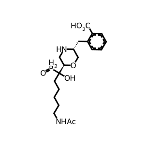 CC(=O)NCCCCCC(O)([PH2]=O)[C@H]1CN[C@H](Cc2ccccc2C(=O)O)CO1